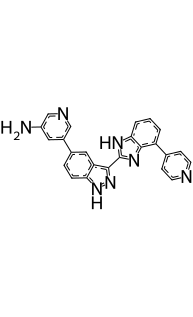 Nc1cncc(-c2ccc3[nH]nc(-c4nc5c(-c6ccncc6)cccc5[nH]4)c3c2)c1